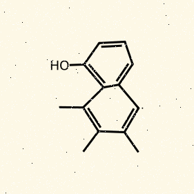 Cc1[c]c2cccc(O)c2c(C)c1C